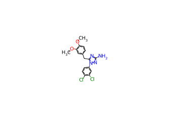 COc1ccc(Cc2nc(N)nn2-c2ccc(Cl)c(Cl)c2)cc1OC